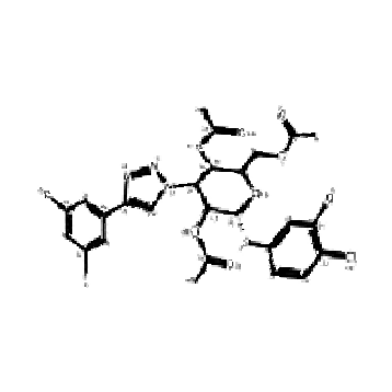 CC(=O)OCC1O[C@H](Sc2ccc(Cl)c(Cl)c2)C(OC(C)=O)C(n2cc(-c3cc(F)cc(F)c3)nn2)[C@H]1OC(C)=O